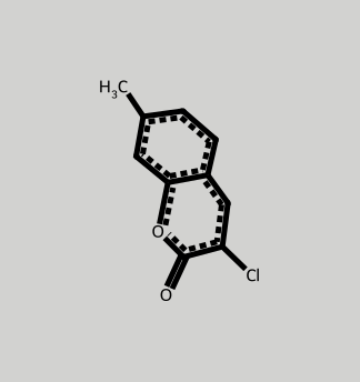 Cc1ccc2cc(Cl)c(=O)oc2c1